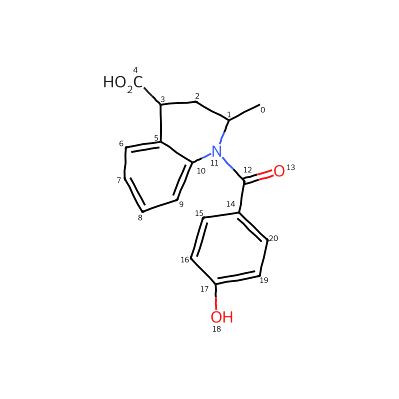 CC1CC(C(=O)O)c2ccccc2N1C(=O)c1ccc(O)cc1